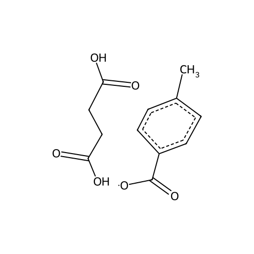 Cc1ccc(C([O])=O)cc1.O=C(O)CCC(=O)O